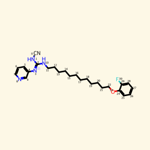 N#CN/C(=N\c1cccnc1)NCCCCCCCCCCCCOc1ccccc1F